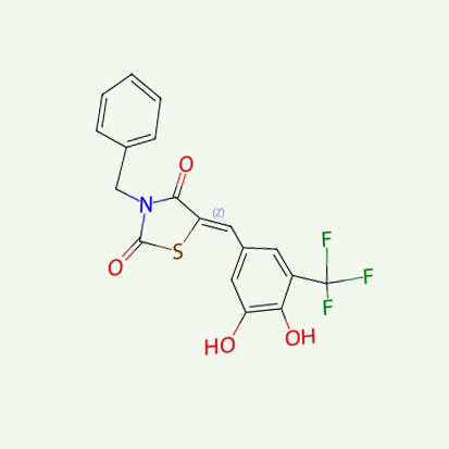 O=C1S/C(=C\c2cc(O)c(O)c(C(F)(F)F)c2)C(=O)N1Cc1ccccc1